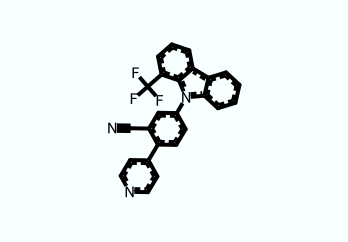 N#Cc1cc(-n2c3ccccc3c3cccc(C(F)(F)F)c32)ccc1-c1ccncc1